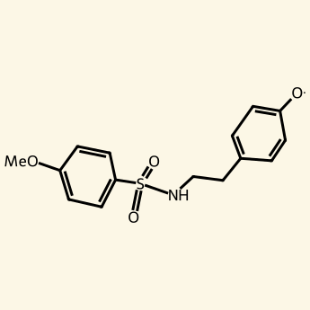 COc1ccc(S(=O)(=O)NCCc2ccc([O])cc2)cc1